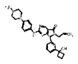 C=CCn1c(=O)c2cnc(Nc3ccc(N4CCN(C)CC4)cc3)nc2n1-c1cccc(C2(O)CCC2)n1